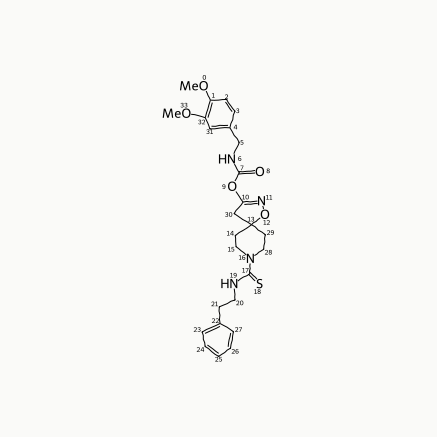 COc1ccc(CNC(=O)OC2=NOC3(CCN(C(=S)NCCc4ccccc4)CC3)C2)cc1OC